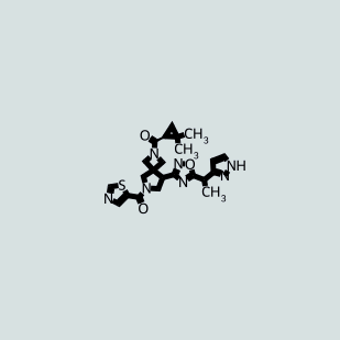 CC(c1cc[nH]n1)c1nc(C2CN(C(=O)c3cncs3)CC23CN(C(=O)[C@H]2CC2(C)C)C3)no1